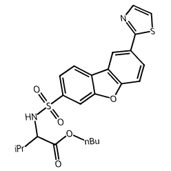 CCCCOC(=O)C(NS(=O)(=O)c1ccc2c(c1)oc1ccc(-c3nccs3)cc12)C(C)C